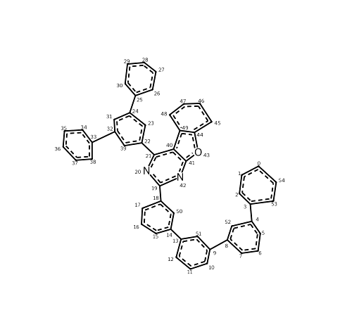 c1ccc(-c2cccc(-c3cccc(-c4cccc(-c5nc(-c6cc(-c7ccccc7)cc(-c7ccccc7)c6)c6c(n5)oc5ccccc56)c4)c3)c2)cc1